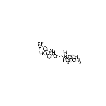 CC(C)(C)OC(=O)NCCCCOc1nnc(-c2ccc(C(F)(F)F)cc2O)c2ccccc12